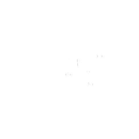 CC(C)(C)O[PH](Oc1ccccc1)(OC(C)(C)C)C(C)(C)C